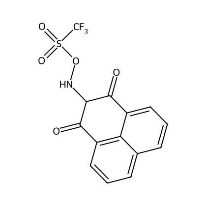 O=C1c2cccc3cccc(c23)C(=O)C1NOS(=O)(=O)C(F)(F)F